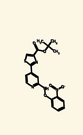 CC(C)(C)OC(=O)c1csc(-c2ccnc(NOc3ccccc3[N+](=O)[O-])c2)n1